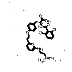 CN(C)CCNc1cccc(CCOc2ccc(C[C@H](NC(=O)c3c(Cl)cccc3Cl)C(=O)O)cc2)n1